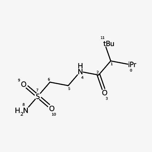 CC(C)C(C(=O)NCCS(N)(=O)=O)C(C)(C)C